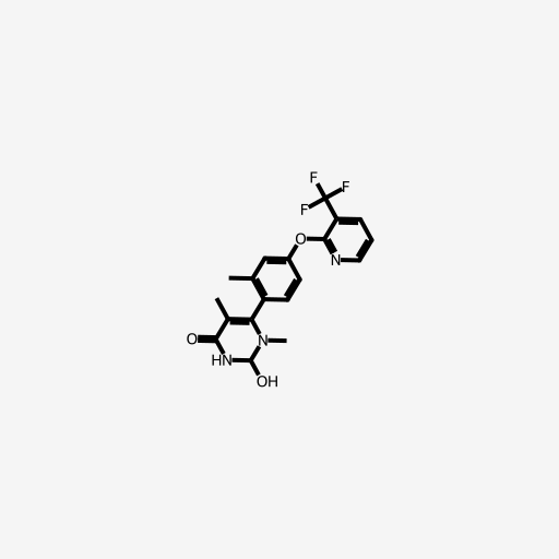 CC1=C(c2ccc(Oc3ncccc3C(F)(F)F)cc2C)N(C)C(O)NC1=O